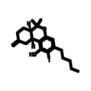 C=C1CC[C@@H]2[C@@H](C1)c1c(cc(CCCCC)c(I)c1O)OC2(C)C